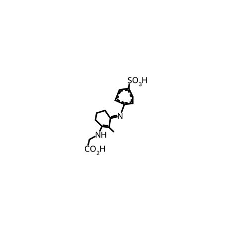 CC1=C(NCC(=O)O)CCCC1=Nc1ccc(S(=O)(=O)O)cc1